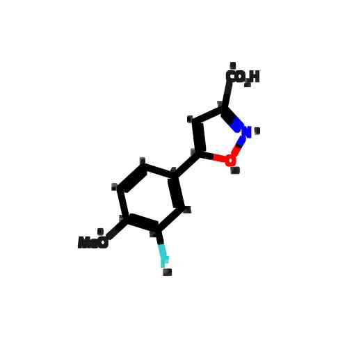 COc1ccc(-c2cc(C(=O)O)no2)cc1F